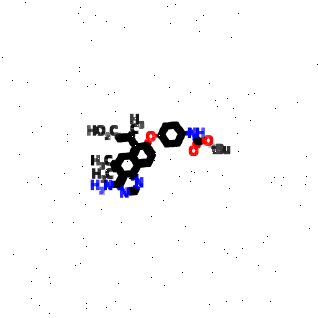 CC(=CC(=O)O)c1c(O[C@H]2CC[C@H](NC(=O)OC(C)(C)C)CC2)ccc2c1CC(C)(C)c1c(N)ncnc1-2